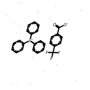 O=C([O-])c1ccc(C(F)(F)F)cc1.c1ccc([S+](c2ccccc2)c2ccccc2)cc1